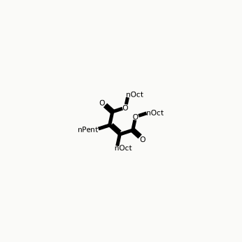 CCCCCCCCOC(=O)C(CCCCC)=C(CCCCCCCC)C(=O)OCCCCCCCC